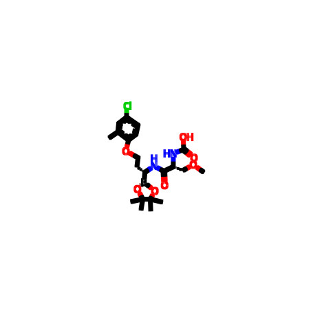 COC[C@@H](NC(=O)O)C(=O)N[C@@H](CCOc1ccc(Cl)cc1C)B1OC(C)(C)C(C)(C)O1